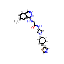 O=C(CNc1nncc2ccc(C(F)(F)F)cc12)NC1CN([C@H]2CC[C@@H](c3cncs3)CC2)C1